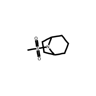 CS(=O)(=O)N1C2CCCC1CC2